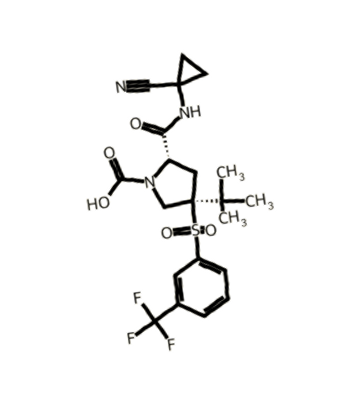 CC(C)(C)[C@@]1(S(=O)(=O)c2cccc(C(F)(F)F)c2)C[C@@H](C(=O)NC2(C#N)CC2)N(C(=O)O)C1